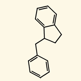 [c]1ccc(CC2CCc3ccccc32)cc1